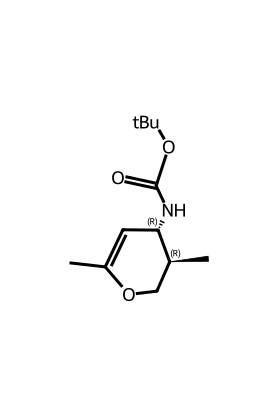 CC1=C[C@H](NC(=O)OC(C)(C)C)[C@@H](C)CO1